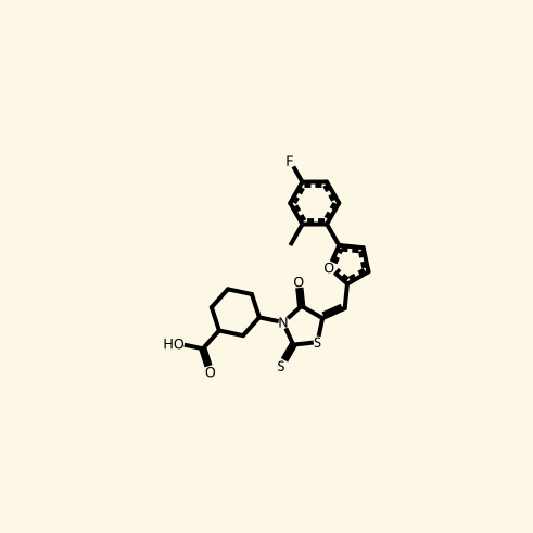 Cc1cc(F)ccc1-c1ccc(C=C2SC(=S)N(C3CCCC(C(=O)O)C3)C2=O)o1